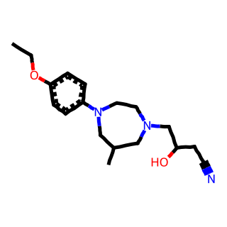 CCOc1ccc(N2CCN(CC(O)CC#N)CC(C)C2)cc1